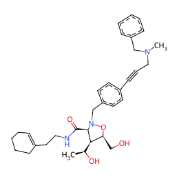 C[C@H](O)[C@@H]1[C@H](CO)ON(Cc2ccc(C#CCN(C)Cc3ccccc3)cc2)[C@@H]1C(=O)NCCC1=CCCCC1